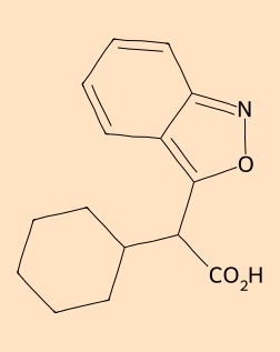 O=C(O)C(c1onc2ccccc12)C1CCCCC1